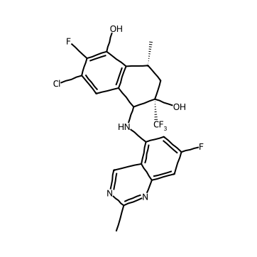 Cc1ncc2c(NC3c4cc(Cl)c(F)c(O)c4[C@H](C)C[C@]3(O)C(F)(F)F)cc(F)cc2n1